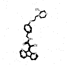 CC[C@@H]1COCCN1CCOc1ccc(CNC(=O)C(C#N)=C2c3ncccc3-c3cccnc32)cc1